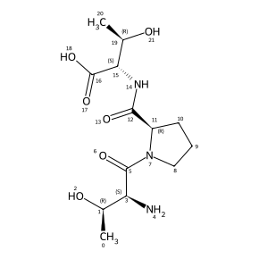 C[C@@H](O)[C@H](N)C(=O)N1CCC[C@@H]1C(=O)N[C@H](C(=O)O)[C@@H](C)O